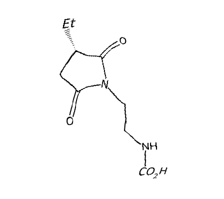 CC[C@H]1CC(=O)N(CCNC(=O)O)C1=O